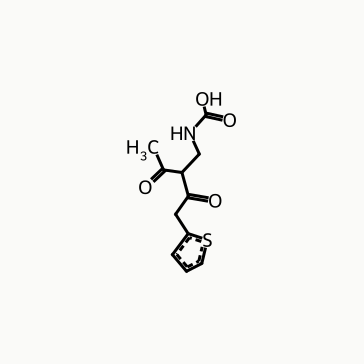 CC(=O)C(CNC(=O)O)C(=O)Cc1cccs1